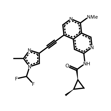 CNc1ncc(C#Cc2cn(C(F)F)c(C)n2)c2cc(NC(=O)[C@H]3C[C@H]3C)ncc12